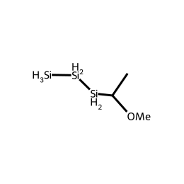 COC(C)[SiH2][SiH2][SiH3]